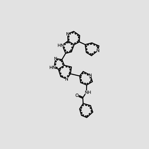 O=C(Nc1cncc(-c2cc3c(-c4cc5c(-c6ccncc6)ccnc5[nH]4)n[nH]c3cn2)c1)c1ccccc1